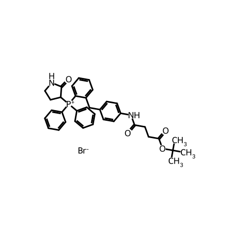 CC(C)(C)OC(=O)CCC(=O)Nc1ccc(Cc2ccccc2[P+](c2ccccc2)(c2ccccc2)C2CCNC2=O)cc1.[Br-]